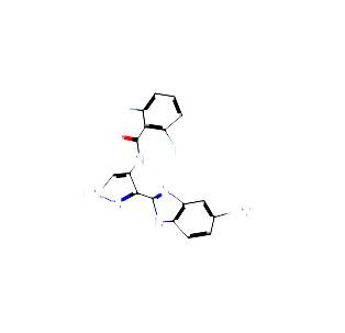 COc1ccc2[nH]c(-c3n[nH]cc3NC(=O)c3c(F)cccc3F)nc2c1